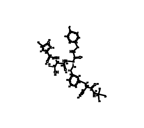 Cc1ccc(CNC(=O)[C@H](CCc2cccc(/C=C(\C#N)C(=O)NC(C)(C)C)c2)NC(=O)[C@@H](NC(=O)c2cc(C)on2)[C@@H](C)O)cc1